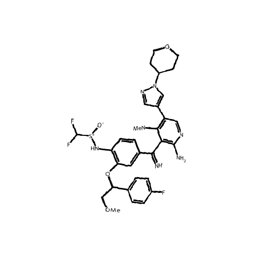 CNc1c(-c2cnn(C3CCOCC3)c2)cnc(N)c1C(=N)c1ccc(N[S+]([O-])C(F)F)c(OC(COC)c2ccc(F)cc2)c1